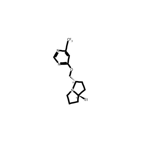 CC[C@@]12CCCN1[C@H](COc1cc(C(F)(F)F)ncn1)CC2